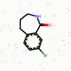 O=C1NCCCc2ccc(Br)cc21